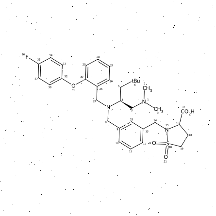 CN(C)C[C@H](CC(C)(C)C)N(Cc1cccc(CN2C(C(=O)O)CCS2(=O)=O)c1)Cc1ccccc1Oc1ccc(F)cc1